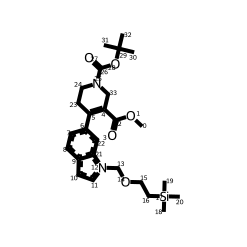 COC(=O)C1=C(c2ccc3ccn(COCC[Si](C)(C)C)c3c2)CCN(C(=O)OC(C)(C)C)C1